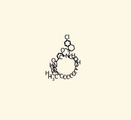 C[C@@H]1[C@@H](C)CCCCOCCO[C@@H]2CC[C@H]2CN2C[C@@]3(CCCc4cc(Cl)ccc43)COc3ccc(cc32)C(=O)NS1(=O)=O